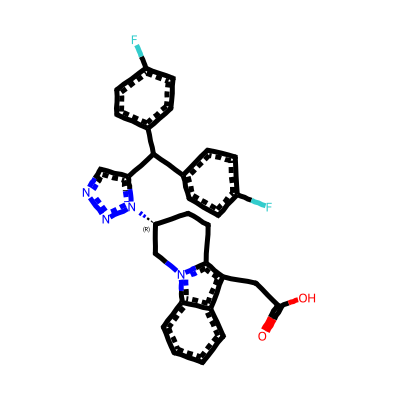 O=C(O)Cc1c2n(c3ccccc13)C[C@H](n1nncc1C(c1ccc(F)cc1)c1ccc(F)cc1)CC2